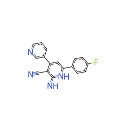 N#Cc1c(-c2cccnc2)cc(-c2ccc(F)cc2)[nH]c1=N